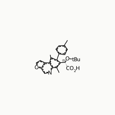 Cc1ccc(-c2c([C@H](OC(C)(C)C)C(=O)O)c(C)c3ncc4occc4c3c2C)cc1